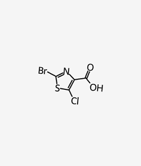 O=C(O)c1nc(Br)sc1Cl